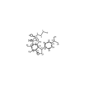 CCCCS(=O)(=O)Nc1c(C)c(C)c2c(c1C)C(c1ccc(C(C)C)cc1)CO2